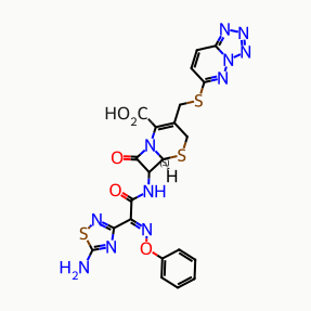 Nc1nc(C(=NOc2ccccc2)C(=O)NC2C(=O)N3C(C(=O)O)=C(CSc4ccc5nnnn5n4)CS[C@@H]23)ns1